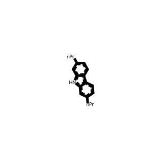 CCCc1ccc2c(c1)[nH]c1cc(CCC)ccc12